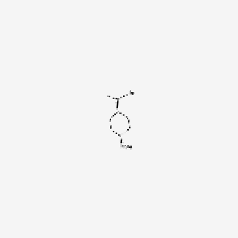 CN[C@H]1CC[C@@H](N(C)C(C)=O)CC1